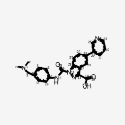 CN(C)Cc1ccc(NC(=O)n2nc(C(=O)O)c3cc(-c4cccnc4)ccc32)cc1